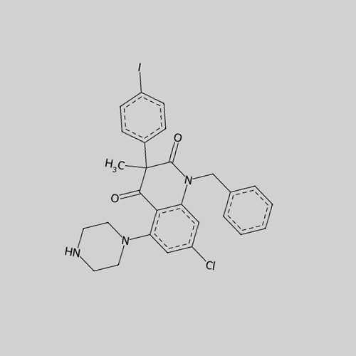 CC1(c2ccc(I)cc2)C(=O)c2c(N3CCNCC3)cc(Cl)cc2N(Cc2ccccc2)C1=O